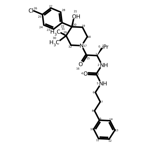 CC(C)[C@@H](NC(=O)NCCCc1ccccc1)C(=O)N1CCC(O)(c2ccc(Cl)cc2)C(C)(C)C1